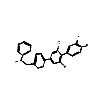 C[C@H](Cc1ccc(-c2cc(F)c(-c3ccc(F)c(F)c3)c(F)c2)cc1)c1ccccc1